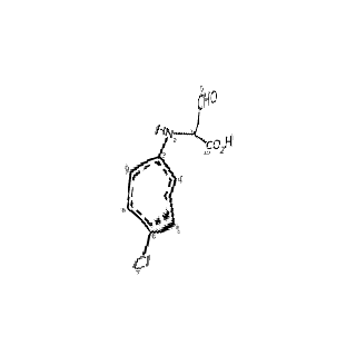 O=CC(Nc1ccc(Cl)cc1)C(=O)O